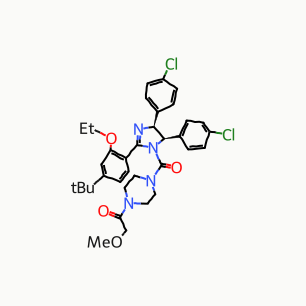 CCOc1cc(C(C)(C)C)ccc1C1=N[C@@H](c2ccc(Cl)cc2)[C@@H](c2ccc(Cl)cc2)N1C(=O)N1CCN(C(=O)COC)CC1